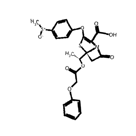 C[C@@H](OC(=O)COc1ccccc1)[C@@]12CC(=O)N1C(C(=O)O)=C(Oc1ccc([S+](C)[O-])cc1)S2